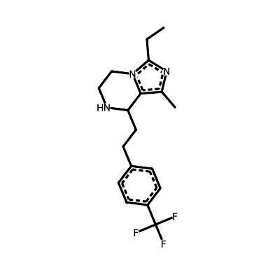 CCc1nc(C)c2n1CCNC2CCc1ccc(C(F)(F)F)cc1